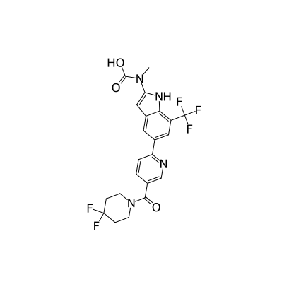 CN(C(=O)O)c1cc2cc(-c3ccc(C(=O)N4CCC(F)(F)CC4)cn3)cc(C(F)(F)F)c2[nH]1